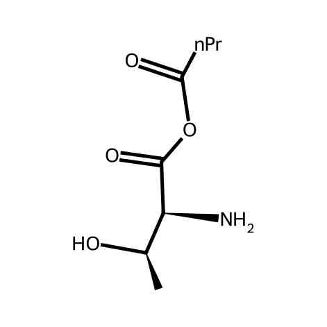 CCCC(=O)OC(=O)[C@@H](N)[C@@H](C)O